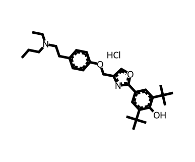 CCCN(CC)CCc1ccc(OCc2coc(-c3cc(C(C)(C)C)c(O)c(C(C)(C)C)c3)n2)cc1.Cl